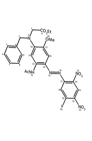 CCOC(=O)CN(Cc1ccccc1)c1cc(NC(C)=O)c(/N=N/c2cc(F)c([N+](=O)[O-])cc2[N+](=O)[O-])cc1OC